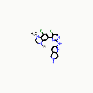 CC(C)N1CCN(C)c2c(F)cc(-c3nc(Nc4ccc5c(n4)CCNC5)ncc3F)cc21